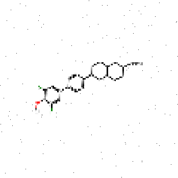 CCCCCC1CCC2CC(c3ccc(-c4cc(F)c(OC(F)(F)F)c(F)c4)cc3)CCC2C1